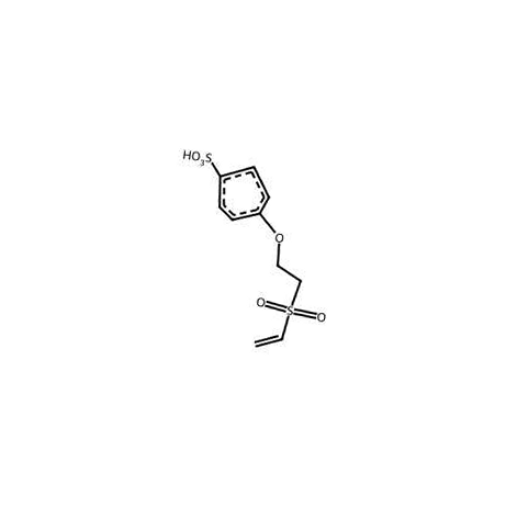 C=CS(=O)(=O)CCOc1ccc(S(=O)(=O)O)cc1